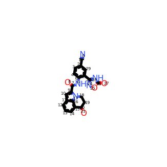 N#Cc1ccc(NC(=O)c2cc3cccc4c3n2CCC4=O)c(-c2noc(=O)[nH]2)c1